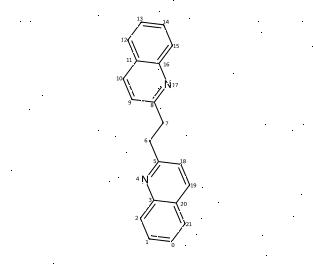 c1ccc2nc(CCc3ccc4ccccc4n3)ccc2c1